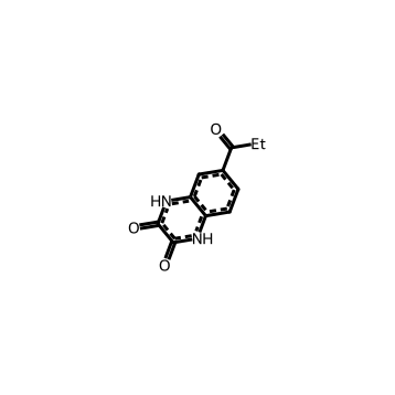 CCC(=O)c1ccc2[nH]c(=O)c(=O)[nH]c2c1